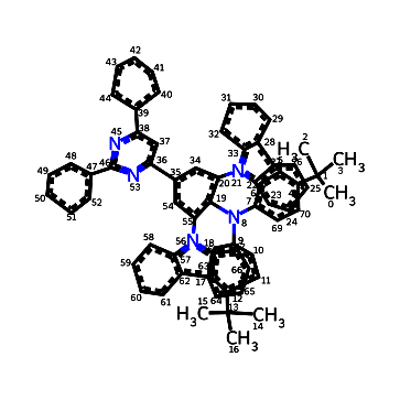 CC(C)(C)c1ccc(N(c2ccc(C(C)(C)C)cc2)c2c(-n3c4ccccc4c4ccccc43)cc(-c3cc(-c4ccccc4)nc(-c4ccccc4)n3)cc2-n2c3ccccc3c3ccccc32)cc1